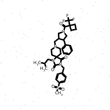 CC(C)CN1C(=O)N(Cc2ccc(S(C)(=O)=O)cc2)C(=O)C12CCN(CC1CN(C(=O)C3(C(F)(F)F)CCC3)CC1c1ccccc1)CC2